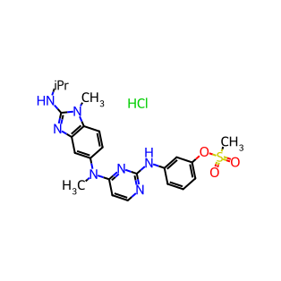 CC(C)Nc1nc2cc(N(C)c3ccnc(Nc4cccc(OS(C)(=O)=O)c4)n3)ccc2n1C.Cl